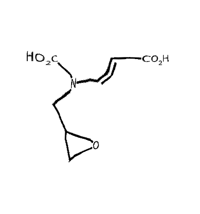 O=C(O)C=CN(CC1CO1)C(=O)O